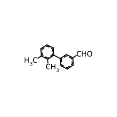 Cc1cccc(-c2cccc(C=O)c2)c1C